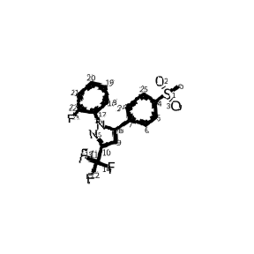 CS(=O)(=O)c1ccc(C2CC(C(F)(F)F)=NN2c2ccccc2F)cc1